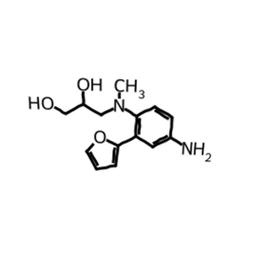 CN(CC(O)CO)c1ccc(N)cc1-c1ccco1